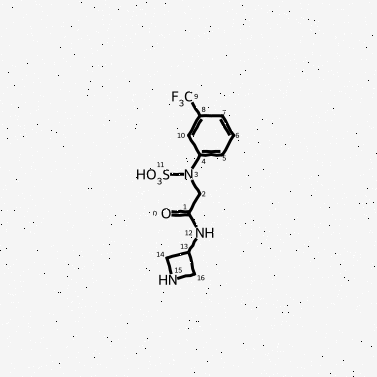 O=C(CN(c1cccc(C(F)(F)F)c1)S(=O)(=O)O)NC1CNC1